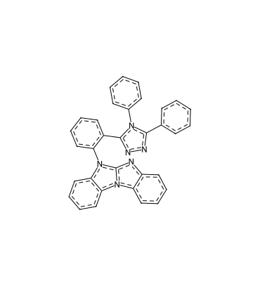 c1ccc(-c2nnc(-c3ccccc3-n3c4ccccc4n4c5ccccc5nc34)n2-c2ccccc2)cc1